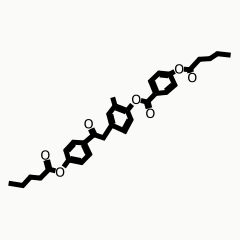 CCCCC(=O)Oc1ccc(C(=O)Cc2ccc(OC(=O)c3ccc(OC(=O)CCCC)cc3)c(C)c2)cc1